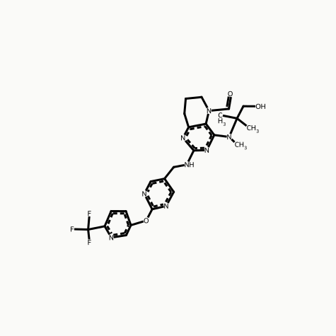 CN(c1nc(NCc2cnc(Oc3ccc(C(F)(F)F)nc3)nc2)nc2c1N(C=O)CCC2)C(C)(C)CO